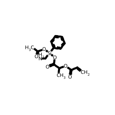 C=CC(=O)OC(C)C(=O)O[Si](CN)(OC(C)=O)c1ccccc1